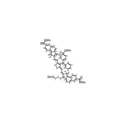 COCCCN1/C(=C/C=C2\CCC(/C=C/C3=[N+](CCCOC)c4ccc5cc(C(=O)OC)ccc5c4C3(C)C)=C2N(c2ccccc2)c2ccccc2)C(C)(C)c2c1ccc1cc(C(=O)OC)ccc21